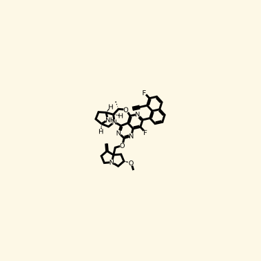 C#Cc1c(F)ccc2cccc(-c3nc4c5c(nc(OCC67C[C@H](OC)CN6CCC7=C)nc5c3F)N3C[C@H]5CC[C@H](N5)[C@H]3[C@H](C)O4)c12